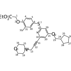 CCOC(=O)COc1ccc(Sc2cc(C#CCN3CCOCC3)cc(OCC3CCCC3)c2)cc1C